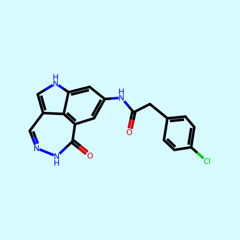 O=C(Cc1ccc(Cl)cc1)Nc1cc2c3c(c[nH]c3c1)C=NNC2=O